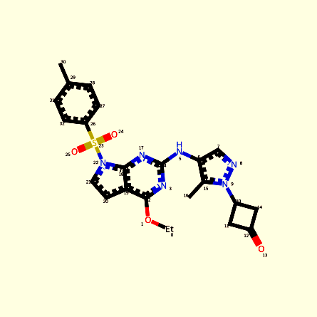 CCOc1nc(Nc2cnn(C3CC(=O)C3)c2C)nc2c1ccn2S(=O)(=O)c1ccc(C)cc1